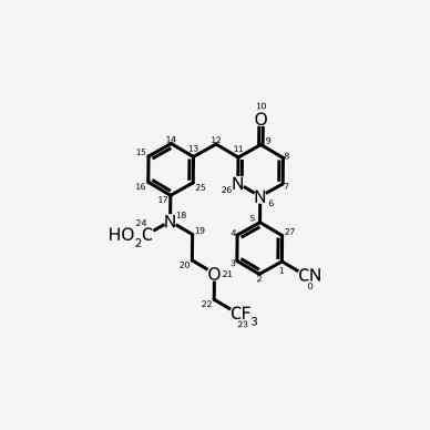 N#Cc1cccc(-n2ccc(=O)c(Cc3cccc(N(CCOCC(F)(F)F)C(=O)O)c3)n2)c1